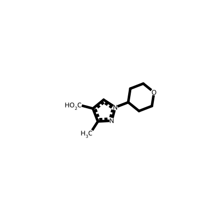 Cc1nn(C2CCOCC2)cc1C(=O)O